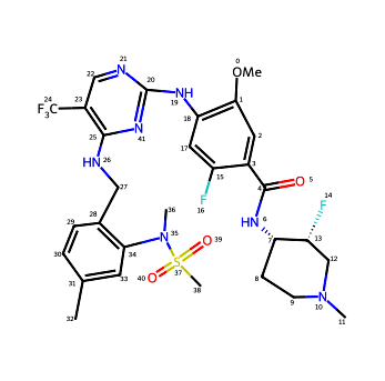 COc1cc(C(=O)N[C@H]2CCN(C)C[C@H]2F)c(F)cc1Nc1ncc(C(F)(F)F)c(NCc2ccc(C)cc2N(C)S(C)(=O)=O)n1